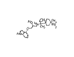 CC1(N)CCC(C(C)(C)NCC(O)COc2cccc3[nH]ccc23)CC1